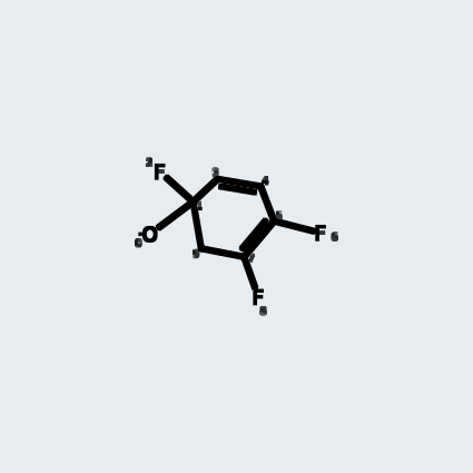 [O]C1(F)C=CC(F)=C(F)C1